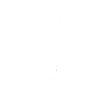 C=C(c1ccccc1)c1ccc(-c2c(O)c3ccc(Cl)cc3[nH]c2=O)cc1